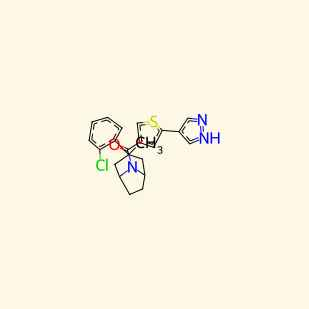 CC1(c2ccccc2Cl)CC2CCC(C1)N2C(=O)c1csc(-c2cn[nH]c2)c1